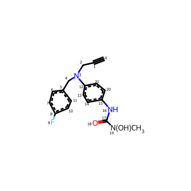 C#CCN(Cc1ccc(F)cc1)c1ccc(NC(=O)N(C)O)cc1